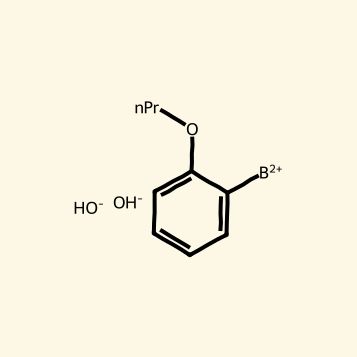 [B+2]c1ccccc1OCCC.[OH-].[OH-]